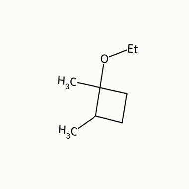 CCOC1(C)CCC1C